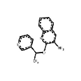 Nc1cc2ccccc2nc1OC(c1cccnc1)C(F)(F)F